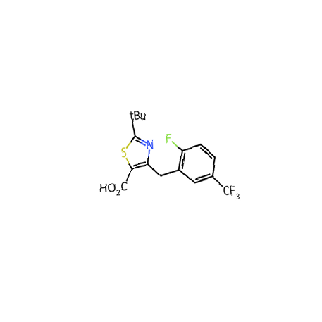 CC(C)(C)c1nc(Cc2cc(C(F)(F)F)ccc2F)c(C(=O)O)s1